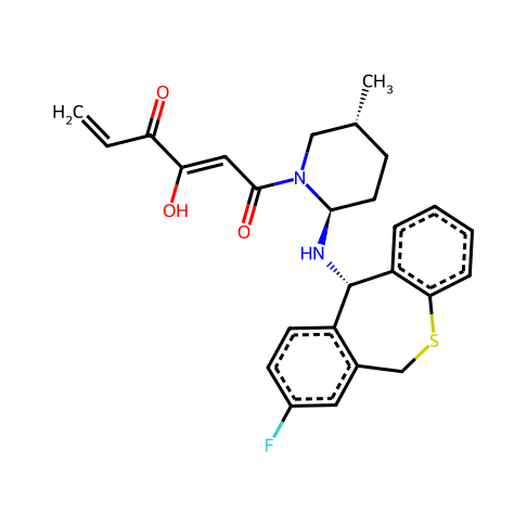 C=CC(=O)/C(O)=C/C(=O)N1C[C@H](C)CC[C@H]1N[C@H]1c2ccc(F)cc2CSc2ccccc21